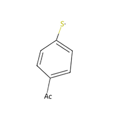 CC(=O)c1ccc([S])cc1